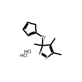 CC1=C(C)[C](C)([Zr][C]2=CC=CC2)P=P1.Cl.Cl